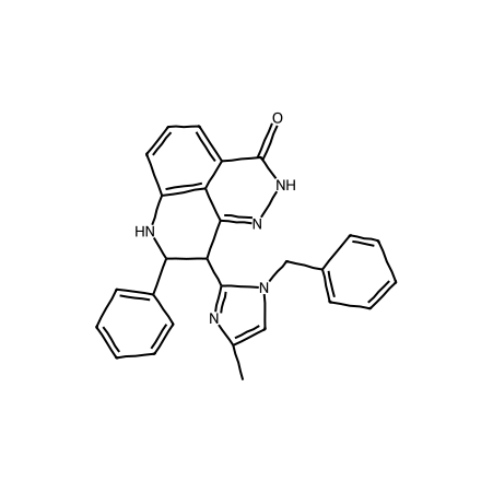 Cc1cn(Cc2ccccc2)c(C2c3n[nH]c(=O)c4cccc(c34)NC2c2ccccc2)n1